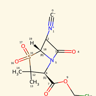 [C-]#[N+]C1C(=O)N2[C@@H](C(=O)OCCl)C(C)(C)S(=O)(=O)[C@H]12